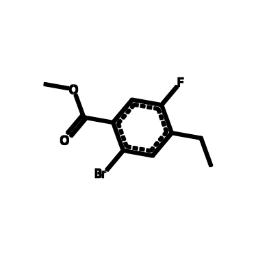 CCc1cc(Br)c(C(=O)OC)cc1F